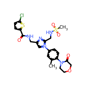 Cc1cc(-n2cc(CNC(=O)c3ccc(Cl)s3)nc2CNS(C)(=O)=O)ccc1N1CCOCC1=O